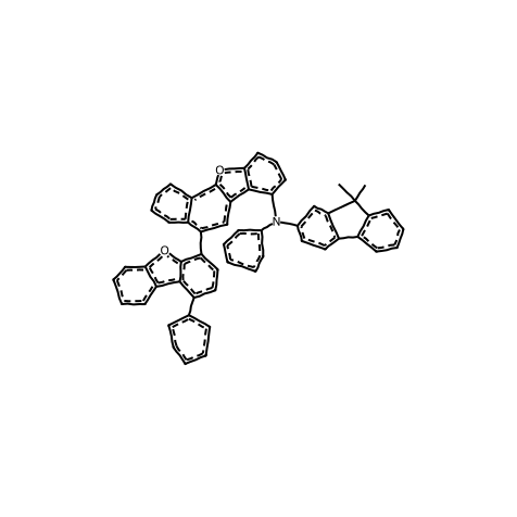 CC1(C)c2ccccc2-c2ccc(N(c3ccccc3)c3cccc4oc5c6ccccc6c(-c6ccc(-c7ccccc7)c7c6oc6ccccc67)cc5c34)cc21